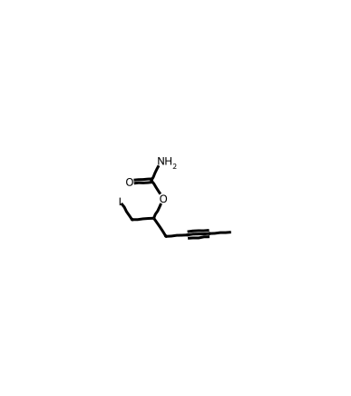 CC#CCC(CI)OC(N)=O